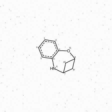 c1ccc2c(c1)NC1CC(C1)O2